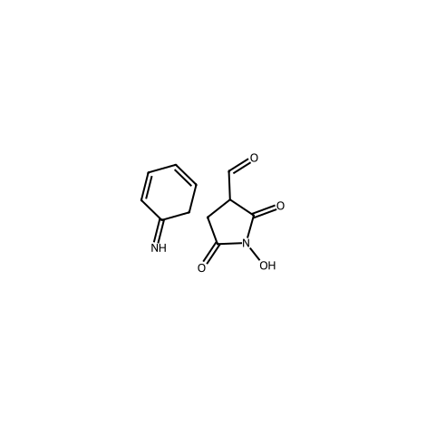 N=C1C=CC=CC1.O=CC1CC(=O)N(O)C1=O